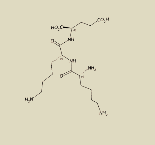 NCCCC[C@@H](N)C(=O)N[C@H](CCCCN)C(=O)N[C@H](CCC(=O)O)C(=O)O